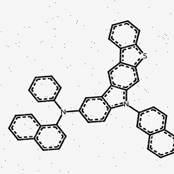 c1ccc(N(c2ccc3c(c2)c2cc4c(cc2n3-c2ccc3ccccc3c2)sc2ccccc24)c2cccc3ccccc23)cc1